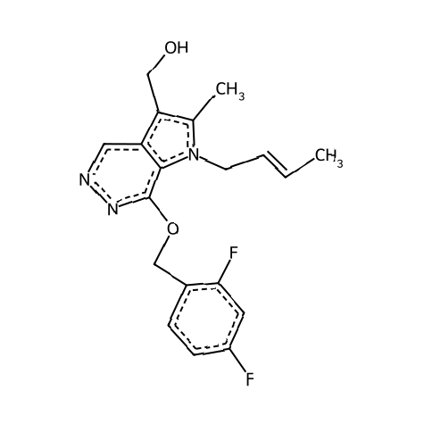 CC=CCn1c(C)c(CO)c2cnnc(OCc3ccc(F)cc3F)c21